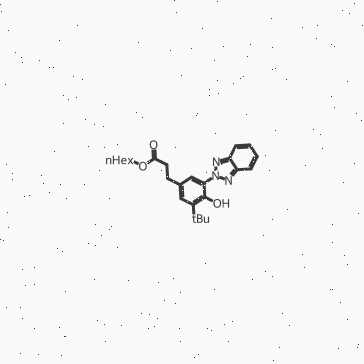 CCCCCCOC(=O)CCc1cc(-n2nc3ccccc3n2)c(O)c(C(C)(C)C)c1